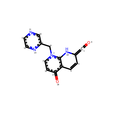 O=C=C1C=Cc2c(n(Cc3cnccn3)ccc2=O)N1